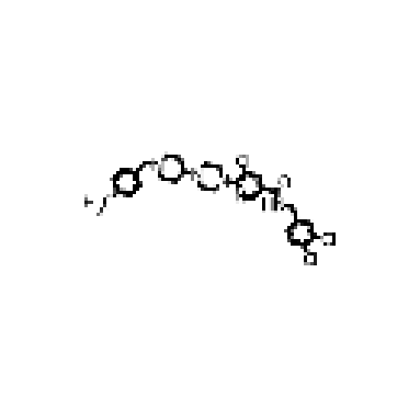 Cc1ccc(CN2CCC(N3CCN(c4ncc(C(=O)NCc5ccc(Cl)c(Cl)c5)cc4Cl)CC3)CC2)cc1